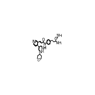 N=COC(=N)CCc1ccc(NC(=O)/C=C/c2cnccc2/C(C=N)=C/NC2CCOCC2)cc1